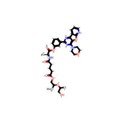 CCC(CO)OC(COC(=O)CCCC(=O)N[C@H](C(=O)Oc1cccc(-c2nc(N3CCOCC3)c3oc4ncccc4c3n2)c1)C(C)C)OC